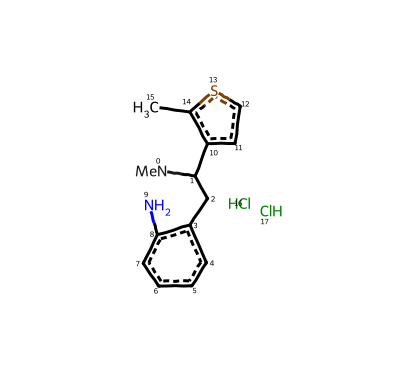 CNC(Cc1ccccc1N)c1ccsc1C.Cl.Cl